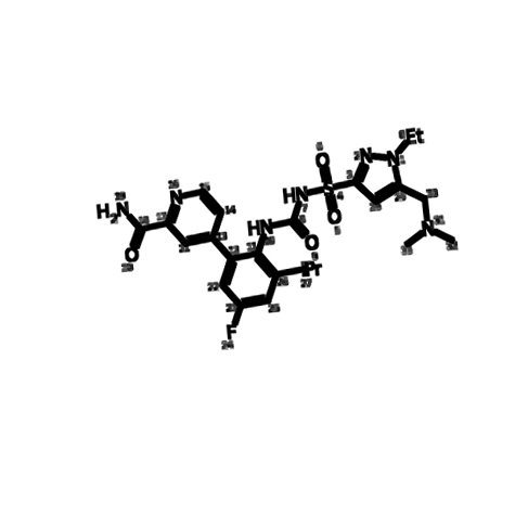 CCn1nc(S(=O)(=O)NC(=O)Nc2c(-c3ccnc(C(N)=O)c3)cc(F)cc2C(C)C)cc1CN(C)C